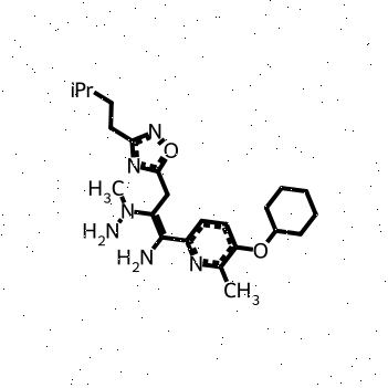 Cc1nc(/C(N)=C(\Cc2nc(CCC(C)C)no2)N(C)N)ccc1OC1CCCCC1